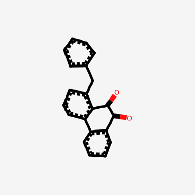 O=C1C(=O)c2c(Cc3ccccc3)cccc2-c2ccccc21